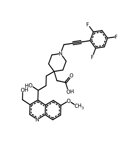 COc1ccc2ncc(CO)c(C(O)CCC3(CC(=O)O)CCN(CC#Cc4c(F)cc(F)cc4F)CC3)c2c1